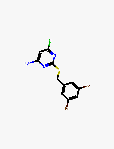 Nc1cc(Cl)nc(SCc2cc(Br)cc(Br)c2)n1